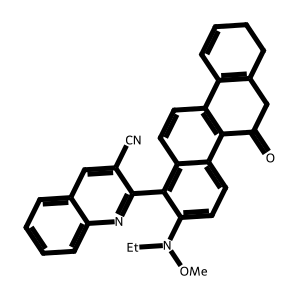 CCN(OC)c1ccc2c3c(ccc2c1-c1nc2ccccc2cc1C#N)C1=C(CCC=C1)CC3=O